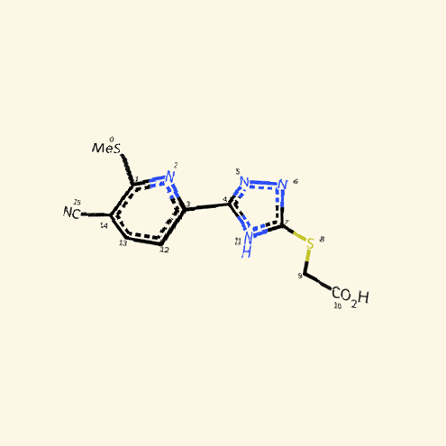 CSc1nc(-c2nnc(SCC(=O)O)[nH]2)ccc1C#N